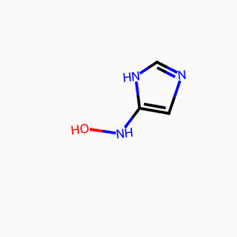 ONc1cnc[nH]1